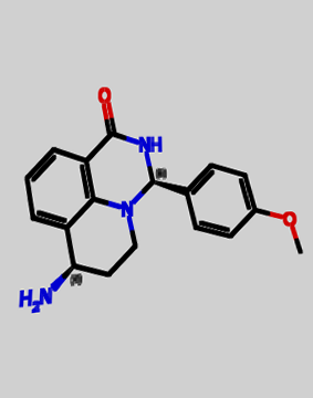 COc1ccc([C@@H]2NC(=O)c3cccc4c3N2CC[C@H]4N)cc1